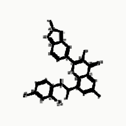 Cc1cc(C(C)Nc2ccc(Cl)nc2C(F)(F)F)c2oc(-c3ccc4nn(C)cc4c3)c(C)c(=O)c2c1